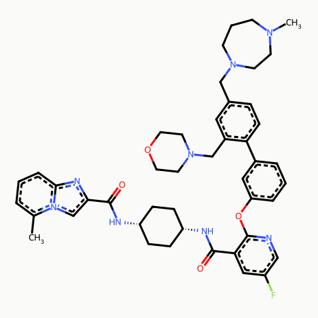 Cc1cccc2nc(C(=O)N[C@H]3CC[C@@H](NC(=O)c4cc(F)cnc4Oc4cccc(-c5ccc(CN6CCCN(C)CC6)cc5CN5CCOCC5)c4)CC3)cn12